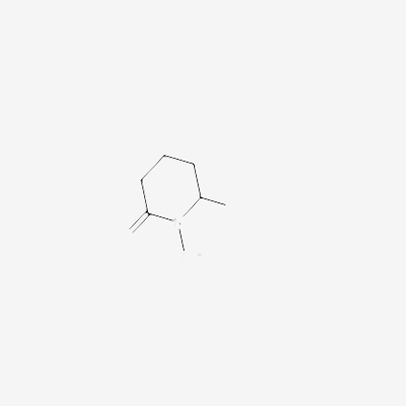 CCCCCN1C(=O)CCCC1C(=O)O